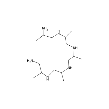 CC(N)CNC(C)CNC(C)CNC(C)CNC(C)CN